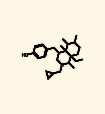 CCC12CCC(C)C(C)C1(C)C(Cc1ccc(O)cc1)CN(CC1CC1)C2C